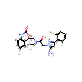 Nc1cc(-c2c(F)cccc2F)nn1CC(=O)N1CC[C@@]2(C1)OC(=O)Nc1ccc(Cl)c(F)c12